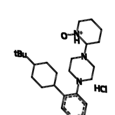 CC(C)(C)C1CCC(c2ccccc2N2CCN(C3CCCC[NH+]3[O-])CC2)CC1.Cl